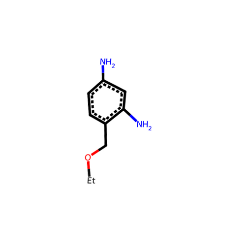 CCOCc1ccc(N)cc1N